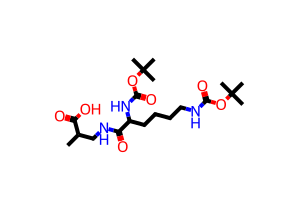 CC(CNC(=O)C(CCCCNC(=O)OC(C)(C)C)NC(=O)OC(C)(C)C)C(=O)O